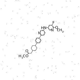 COC(=O)CC1CCC(c2ccc(-c3ccc(Nc4cnc(OC)c(F)c4)cn3)cc2)CC1